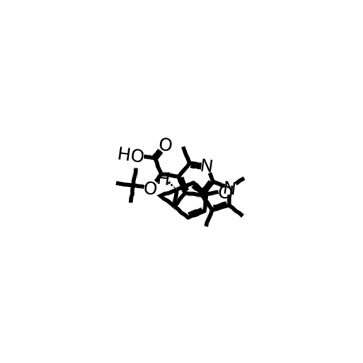 Cc1nc2c(c(C)c(C)n2C)c(C23C=CC(Cl)=C[C@@H]2C3)c1C(OC(C)(C)C)C(=O)O